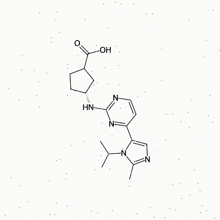 Cc1ncc(-c2ccnc(N[C@@H]3CCC(C(=O)O)C3)n2)n1C(C)C